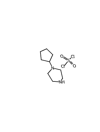 C1CCC(N2CCNCC2)C1.O=S(=O)(Cl)Cl